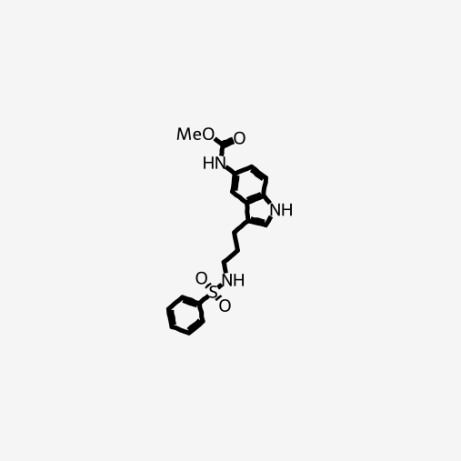 COC(=O)Nc1ccc2[nH]cc(CCCNS(=O)(=O)c3ccccc3)c2c1